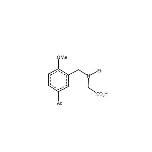 CCN(CC(=O)O)Cc1cc(C(C)=O)ccc1OC